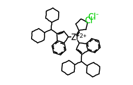 C1=C(C(C2CCCCC2)C2CCCCC2)c2ccccc2[CH]1[Zr+2](=[C]1CCCC1)[CH]1C=C(C(C2CCCCC2)C2CCCCC2)c2ccccc21.[Cl-].[Cl-]